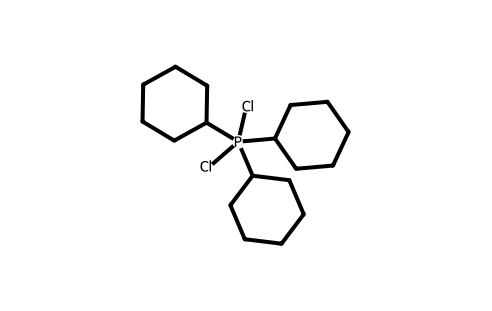 ClP(Cl)(C1CCCCC1)(C1CCCCC1)C1CCCCC1